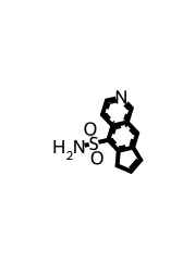 NS(=O)(=O)c1c2c(cc3cnccc13)C=CC2